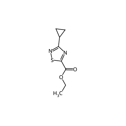 CCOC(=O)c1nc(C2CC2)ns1